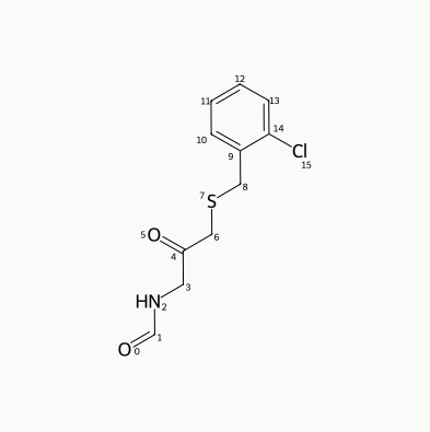 O=CNCC(=O)CSCc1ccccc1Cl